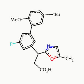 COc1ccc(C(C)(C)C)cc1-c1cc(F)cc(C(CC(=O)O)c2ncc(C)o2)c1